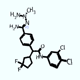 CN(N)/N=C(\N)c1ccc(C(C(=O)Nc2ccc(Cl)c(Cl)c2)C2CCC(F)(F)C2)cc1